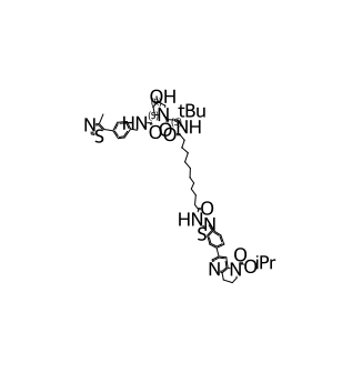 Cc1ncsc1-c1ccc(CNC(=O)[C@@H]2C[C@@H](O)CN2C(=O)[C@@H](NC(=O)CCCCCCCCCCC(=O)Nc2nc3ccc(-c4cnc5c(c4)N(C(=O)OC(C)C)CCC5)cc3s2)C(C)(C)C)cc1